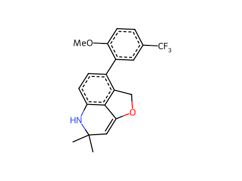 COc1ccc(C(F)(F)F)cc1-c1ccc2c3c1COC3=CC(C)(C)N2